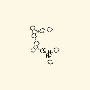 c1ccc(-c2ccc(-n3c4ccccc4c4ccc(-c5ccc6c(c5)c5ccccc5n6-c5ccc(-c6nc(-c7ccccc7)cc(-c7ccccc7)n6)cc5)cc43)cc2)cc1